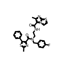 Cc1nc(C(=O)N(CCNC(=O)c2c(C)nc3sccn23)Cc2ccc(F)cc2)c(-c2ccccc2)s1